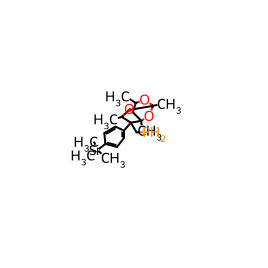 CC12CC3(C)OC(C)(CC(C)(O1)C3(CP)c1ccc([Si](C)(C)C)cc1)O2